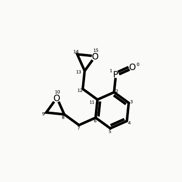 O=Pc1cccc(CC2CO2)c1CC1CO1